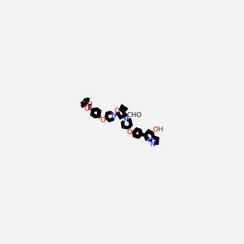 CC1(C)OB(c2ccc(OC3CCN(C(=O)CC(C=O)(C4CCC4)N4CCC(Oc5ccc(-c6cc(O)c7ccnn7c6)cc5)CC4)CC3)cc2)OC1(C)C